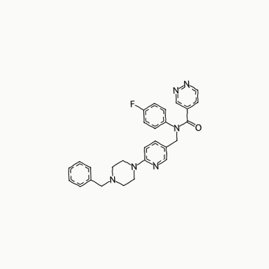 O=C(c1ccnnc1)N(Cc1ccc(N2CCN(Cc3ccccc3)CC2)nc1)c1ccc(F)cc1